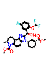 COC(=O)[C@@H]1CCC[C@@H](n2c(C(O)c3cc(F)ccc3OC(F)F)nc3c4c(ccc32)N(C(=O)OC)[C@@H](C)CC4)C1